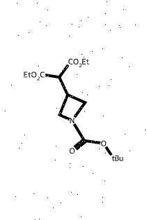 CCOC(=O)C(C(=O)OCC)C1CN(C(=O)OC(C)(C)C)C1